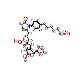 COC(=O)[C@@]1(C)S[C@@](CO)(CCC[C@H]2CCC(=O)N2c2ccc(CCCCCCO)cc2)C=C1C[C@H]1COCO1